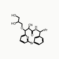 CCCC(NC(=O)C(C#N)C(OCC(O)CO)c1cccc(Br)n1)c1ccccc1